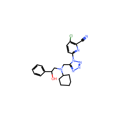 N#Cc1nc(-n2nnnc2CN(CC(O)c2ccccc2)C2CCCCC2)ccc1Cl